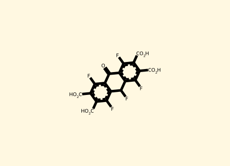 O=C(O)c1c(F)c2c(c(F)c1C(=O)O)C(F)c1c(F)c(C(=O)O)c(C(=O)O)c(F)c1C2=O